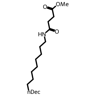 CCCCCCCCCCCCCCCCCCNC(=O)CCC(=O)OC